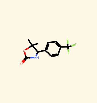 CC1(C)OC(=O)NC1c1ccc(C(F)(F)F)cc1